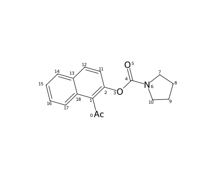 CC(=O)c1c(OC(=O)N2CCCC2)ccc2ccccc12